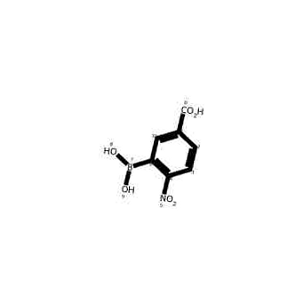 O=C(O)c1ccc([N+](=O)[O-])c(B(O)O)c1